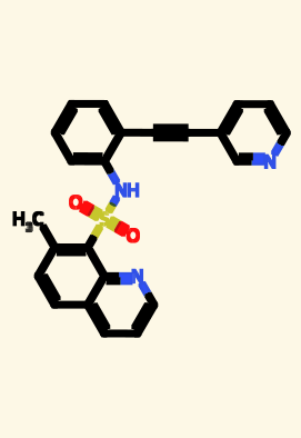 Cc1ccc2cccnc2c1S(=O)(=O)Nc1ccccc1C#Cc1cccnc1